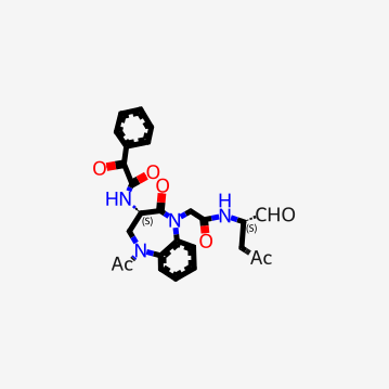 CC(=O)C[C@@H](C=O)NC(=O)CN1C(=O)[C@@H](NC(=O)C(=O)c2ccccc2)CN(C(C)=O)c2ccccc21